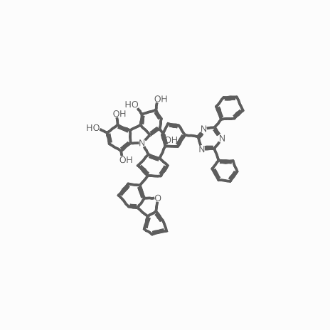 Oc1cc(O)c2c(c1O)c1c(O)c(O)cc(O)c1n2-c1cc(-c2cccc3c2oc2ccccc23)ccc1-c1cccc(-c2nc(-c3ccccc3)nc(-c3ccccc3)n2)c1